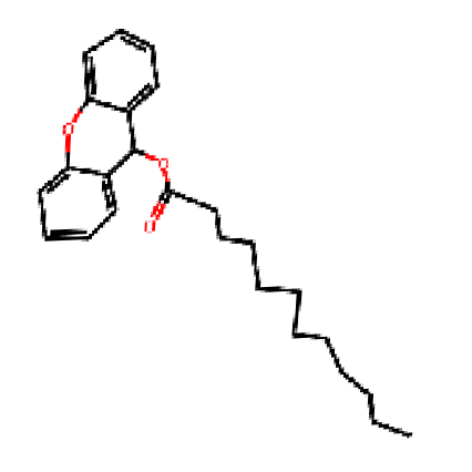 CCCCCCCCCCCC(=O)OC1c2ccccc2Oc2ccccc21